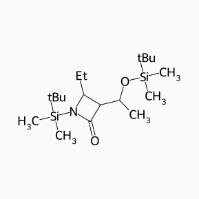 [CH]CC1C(C(C)O[Si](C)(C)C(C)(C)C)C(=O)N1[Si](C)(C)C(C)(C)C